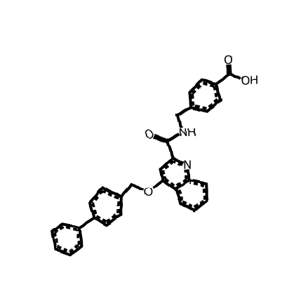 O=C(O)c1ccc(CNC(=O)c2cc(OCc3ccc(-c4ccccc4)cc3)c3ccccc3n2)cc1